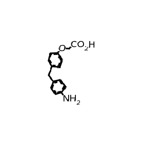 Nc1ccc(Cc2ccc(OCC(=O)O)cc2)cc1